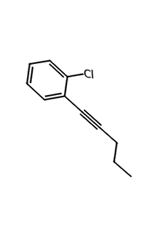 CCCC#Cc1ccccc1Cl